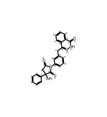 CCCC1(c2ccccc2)CC(=O)N(c2cccc(Cc3n[nH]c(=O)c4ccccc34)c2)C1=O